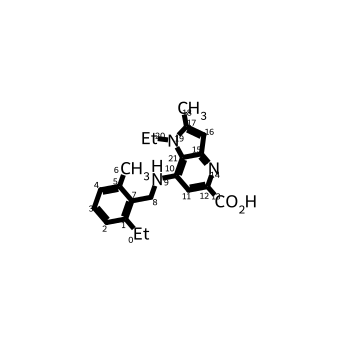 CCc1cccc(C)c1CNc1cc(C(=O)O)nc2cc(C)n(CC)c12